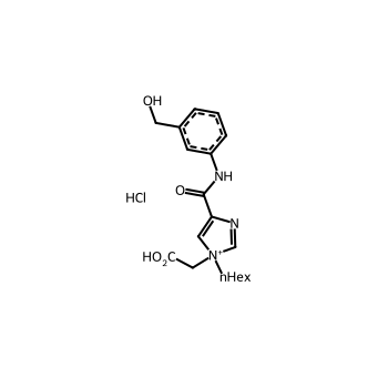 CCCCCC[N+]1(CC(=O)O)C=NC(C(=O)Nc2cccc(CO)c2)=C1.Cl